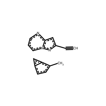 C#Cc1cc2ncccn2n1.Cc1ccc2cc1-2